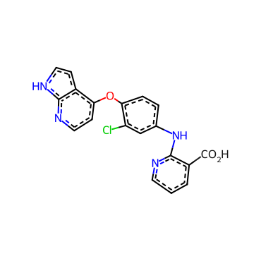 O=C(O)c1cccnc1Nc1ccc(Oc2ccnc3[nH]ccc23)c(Cl)c1